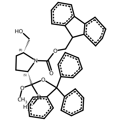 COC(OC)(OC(c1ccccc1)(c1ccccc1)c1ccccc1)[C@@H]1CC[C@H](CO)N1C(=O)OCC1c2ccccc2-c2ccccc21